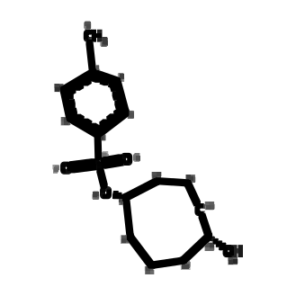 Cc1ccc(S(=O)(=O)O[C@H]2CCC[C@@H](O)CCC2)cc1